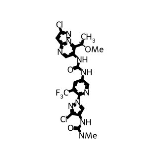 CNC(=O)Nc1cn(-c2ncc(NC(=O)Nc3cnc4cc(Cl)nn4c3[C@H](C)OC)cc2C(F)(F)F)nc1Cl